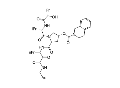 CCCC(NC(=O)C1C[C@@H](OC(=O)N2CCc3ccccc3C2)CN1C(=O)[C@@H](NC(=O)[C@@H](O)C(C)C)C(C)C)C(=O)C(=O)NCC(C)=O